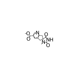 COC(=O)c1cnc2c(c1)CC1(C2)C(=O)NC(=O)N1C